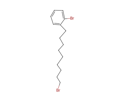 BrCCCCCCCCCc1ccccc1Br